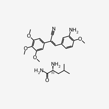 CC(C)C[C@H](N)C(N)=O.COc1ccc(C=C(C#N)c2cc(OC)c(OC)c(OC)c2)cc1N